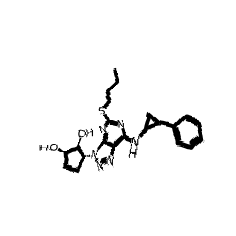 CCCCSc1nc(NC2CC2c2ccccc2)c2nnn([C@@H]3CC[C@@H](O)[C@H]3O)c2n1